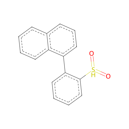 O=[SH](=O)c1ccccc1-c1cccc2ccccc12